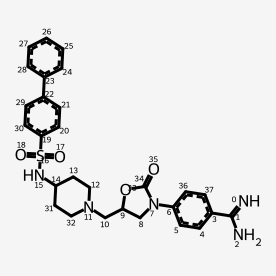 N=C(N)c1ccc(N2CC(CN3CCC(NS(=O)(=O)c4ccc(-c5ccccc5)cc4)CC3)OC2=O)cc1